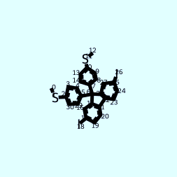 CSc1ccc(C2(c3ccc(SC)cc3)c3cc(I)ccc3-c3ccc(I)cc32)cc1